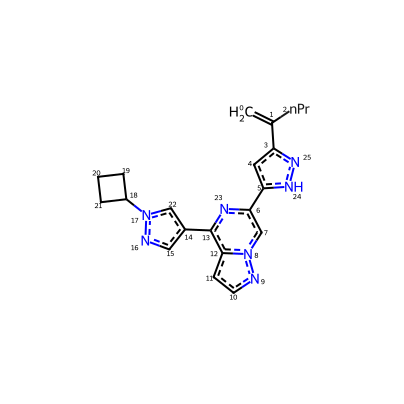 C=C(CCC)c1cc(-c2cn3nccc3c(-c3cnn(C4CCC4)c3)n2)[nH]n1